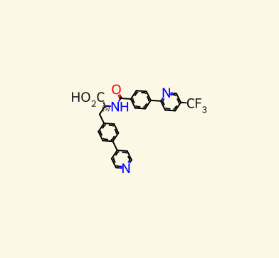 O=C(N[C@@H](Cc1ccc(-c2ccncc2)cc1)C(=O)O)c1ccc(-c2ccc(C(F)(F)F)cn2)cc1